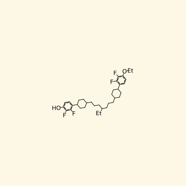 CCOc1ccc(C2CCC(CCCC(CC)CCCC3CCC(c4ccc(O)c(F)c4F)CC3)CC2)c(F)c1F